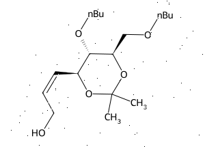 CCCCOC[C@H]1OC(C)(C)O[C@@H](/C=C\CO)[C@@H]1OCCCC